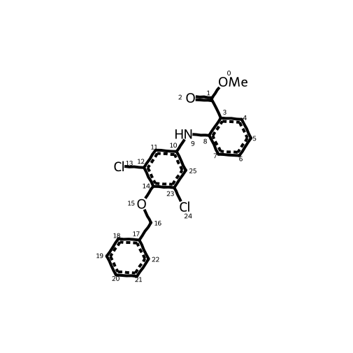 COC(=O)c1ccccc1Nc1cc(Cl)c(OCc2ccccc2)c(Cl)c1